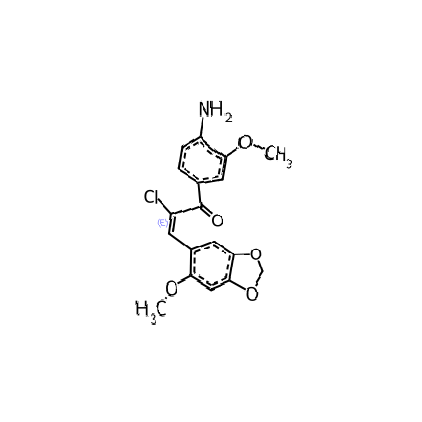 COc1cc(C(=O)/C(Cl)=C\c2cc3c(cc2OC)OCO3)ccc1N